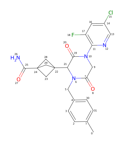 Cc1ccc(CN2C(=O)CN(c3ncc(Cl)cc3F)C(=O)C2C23CC(C(N)=O)(C2)C3)cc1